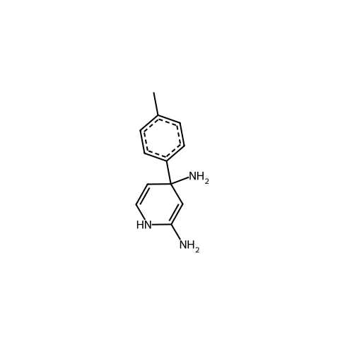 Cc1ccc(C2(N)C=CNC(N)=C2)cc1